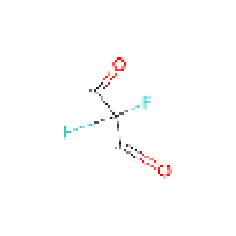 O=[C]C(F)(F)[C]=O